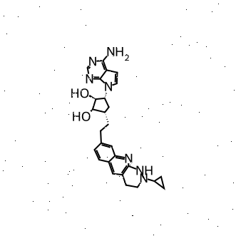 Nc1ncnc2c1ccn2[C@@H]1C[C@H](CCc2ccc3cc4c(nc3c2)NN(C2CC2)CC4)[C@@H](O)[C@H]1O